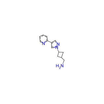 NCC1CC(n2cc(-c3ccccn3)cn2)C1